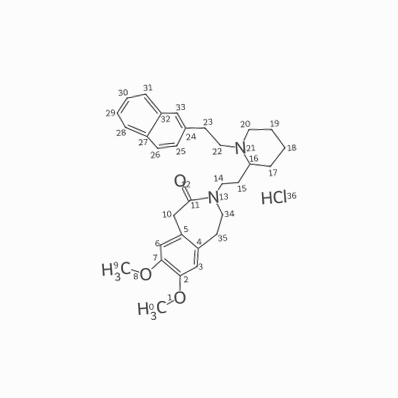 COc1cc2c(cc1OC)CC(=O)N(CCC1CCCCN1CCc1ccc3ccccc3c1)CC2.Cl